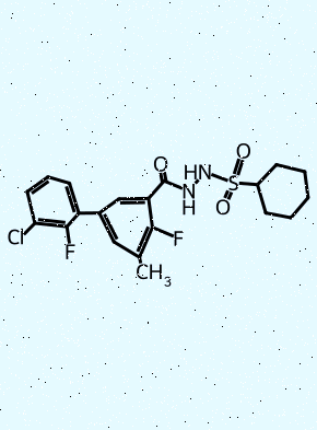 Cc1cc(-c2cccc(Cl)c2F)cc(C(=O)NNS(=O)(=O)C2CCCCC2)c1F